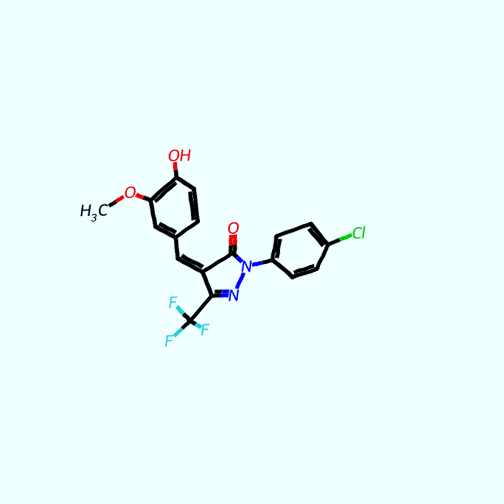 COc1cc(C=C2C(=O)N(c3ccc(Cl)cc3)N=C2C(F)(F)F)ccc1O